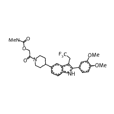 CNC(=O)OCC(=O)N1CCC(c2ccc3[nH]c(-c4ccc(OC)c(OC)c4)c(CC(F)(F)F)c3c2)CC1